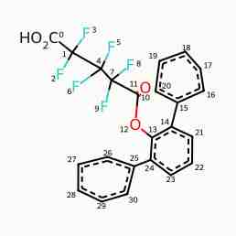 O=C(O)C(F)(F)C(F)(F)C(F)(F)C(=O)Oc1c(-c2ccccc2)cccc1-c1ccccc1